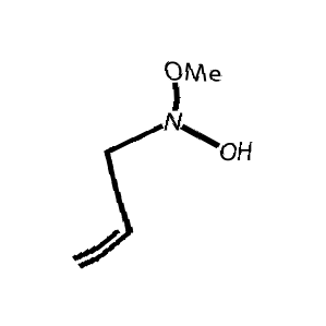 C=CCN(O)OC